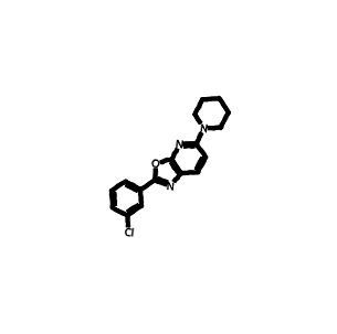 Clc1cccc(-c2nc3ccc(N4CCCCC4)nc3o2)c1